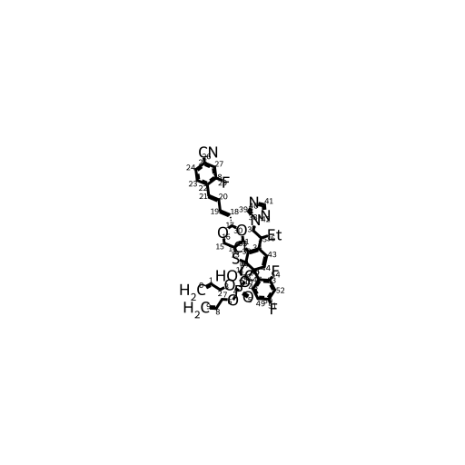 C=CCOP(=O)(OCC=C)OC[C@@]1(S[C@H]2CO[C@H](C=CC=Cc3ccc(C#N)cc3F)OC2)C(Cl)=C(C(CC)Cn2cncn2)C=C[C@]1(C(=O)O)c1ccc(F)cc1F